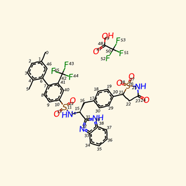 Cc1ccc(C)c(-c2ccc(S(=O)(=O)N[C@@H](Cc3ccc(C4CC(=O)NS4(=O)=O)cc3)c3nc4ccccc4[nH]3)cc2C(F)(F)F)c1.O=C(O)C(F)(F)F